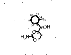 CCC(OC(N)=O)C(O)c1ccccc1C